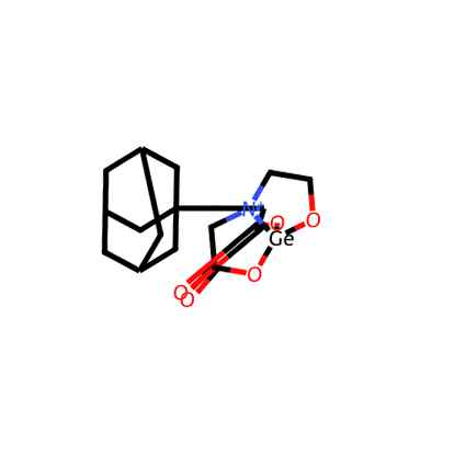 O=C1C[N+]23CC[O][Ge]2([O]1)[O]C(=O)C3C12CC3CC(CC(C3)C1)C2